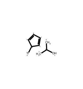 CC(C)O.[Ti][CH]1C=CC=C1